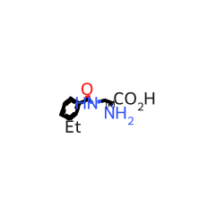 CCc1cccc(C(=O)NC[C@@H](N)C(=O)O)c1